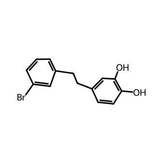 Oc1ccc(CCc2cccc(Br)c2)cc1O